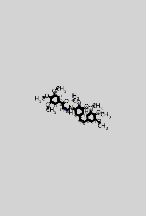 COc1cc(/C=C\c2cc(O)c(OC)c(N/C=C\C(=O)c3cc(OC)c(OC)c(OC)c3)c2)cc(OC)c1OC